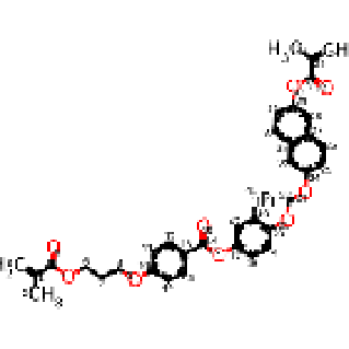 C=C(C)C(=O)OCCCOc1ccc(C(=O)Oc2ccc(OCOc3ccc4cc(OC(=O)C(=C)C)ccc4c3)c(CCC)c2)cc1